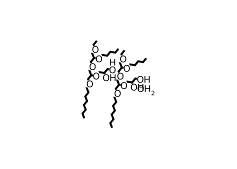 CCCCCCCCOCC(COCC(COCC)OCCCCC)OCC(O)CO.CCCCCCCCOCC(COCC(COCC)OCCCCC)OCC(O)CO.O